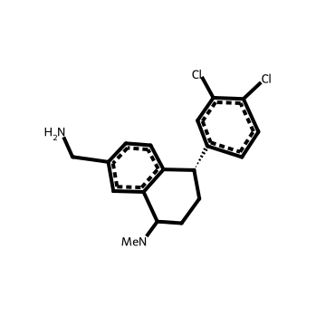 CNC1CC[C@@H](c2ccc(Cl)c(Cl)c2)c2ccc(CN)cc21